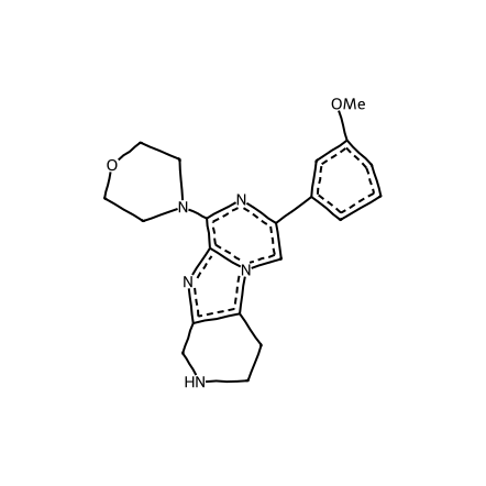 COc1cccc(-c2cn3c4c(nc3c(N3CCOCC3)n2)CNCC4)c1